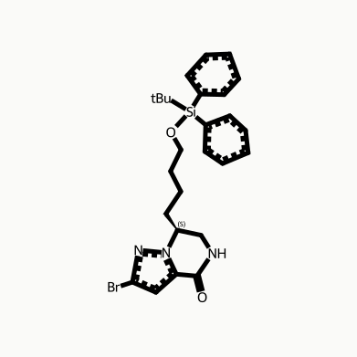 CC(C)(C)[Si](OCCCC[C@H]1CNC(=O)c2cc(Br)nn21)(c1ccccc1)c1ccccc1